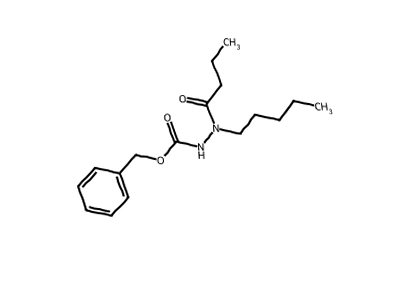 CCCCCN(NC(=O)OCc1ccccc1)C(=O)CCC